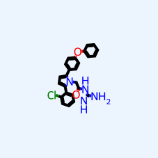 N=C(N)NC(=O)Cn1c(-c2ccc(Oc3ccccc3)cc2)ccc1-c1ccccc1Cl